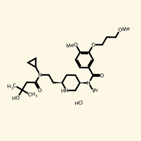 COCCCOc1cc(C(=O)N(C(C)C)[C@@H]2CC[C@H](CCN(C(=O)CC(C)(C)O)C3CC3)NC2)ccc1OC.Cl